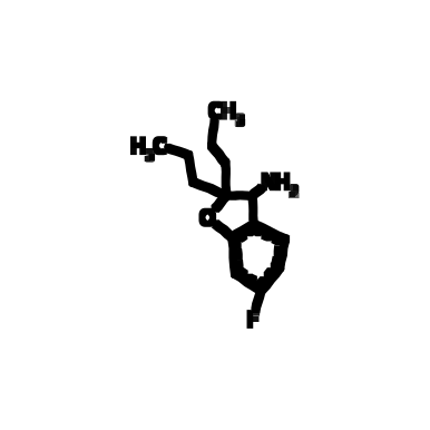 CCCC1(CCC)Oc2cc(F)ccc2C1N